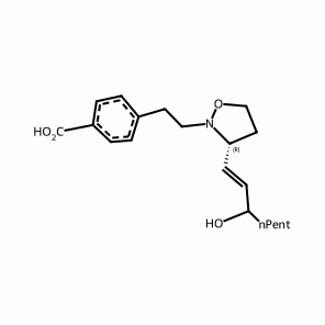 CCCCCC(O)C=C[C@H]1CCON1CCc1ccc(C(=O)O)cc1